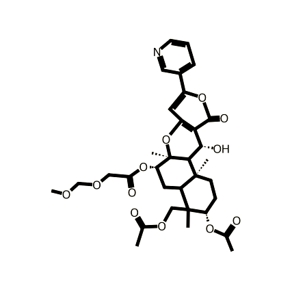 COCOCC(=O)O[C@H]1CC2C(C)(COC(C)=O)[C@@H](OC(C)=O)CC[C@]2(C)C2[C@@H](O)c3c(cc(-c4cccnc4)oc3=O)O[C@@]21C